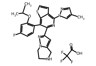 Cc1cnn(-c2nc(-c3cc4n(n3)CCNC4)c(-c3ccc(F)cc3OC(C)C)c3sccc23)c1.O=C(O)C(F)(F)F